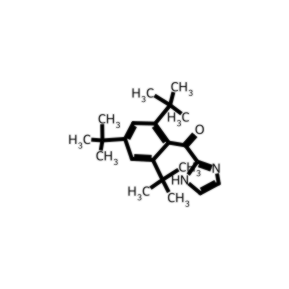 CC(C)(C)c1cc(C(C)(C)C)c(C(=O)c2ncc[nH]2)c(C(C)(C)C)c1